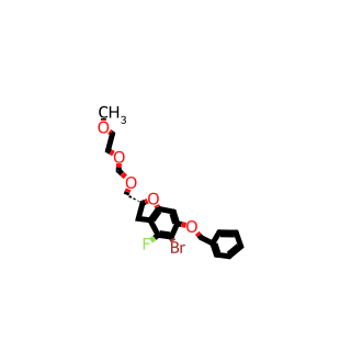 COCCOCOC[C@H]1Cc2c(cc(OCc3ccccc3)c(Br)c2F)O1